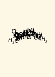 COC(=O)N[C@@H]1C[C@@H]2COc3ncc(NS(=O)(=O)c4cc(Cl)ccc4OC)cc3C(=O)N2C1